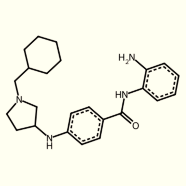 Nc1ccccc1NC(=O)c1ccc(NC2CCN(CC3CCCCC3)C2)cc1